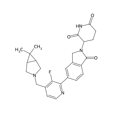 CC1(C)C2CN(Cc3ccnc(-c4ccc5c(c4)CN(C4CCC(=O)NC4=O)C5=O)c3F)CC21